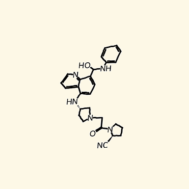 N#C[C@@H]1CCCN1C(=O)CN1CC[C@H](Nc2ccc(C(O)Nc3ccccc3)c3ncccc23)C1